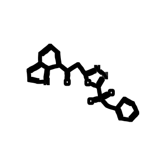 O=C(Cc1nnc(S(=O)(=O)Cc2ccccc2)o1)c1cccc2cccnc12